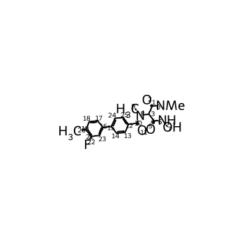 CNC(=O)C(C(=O)NO)N(C)C(=O)c1ccc(-c2ccc(C)c(F)c2)cc1